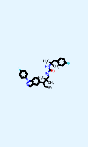 CC(C)CC(c1ccc2c(cnn2-c2ccc(F)cc2)c1)C(C)(C)CNC(=O)NC(C)(C)Cc1ccc(F)cc1